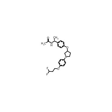 CC(=O)N[C@@H](C)c1ccc(OC2CCN(c3ccc(OCCC(F)F)cc3)C2)cc1